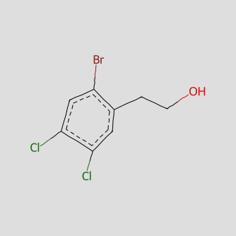 OCCc1cc(Cl)c(Cl)cc1Br